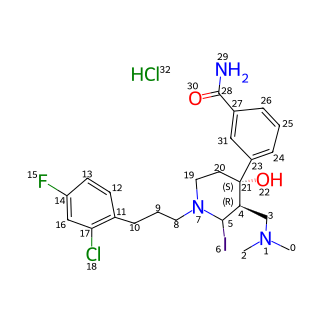 CN(C)C[C@H]1C(I)N(CCCc2ccc(F)cc2Cl)CC[C@@]1(O)c1cccc(C(N)=O)c1.Cl